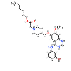 CCCCCCOC(=O)CN1CCC(COc2cc3c(Nc4cccc(Br)c4)ncnc3cc2OC)CC1